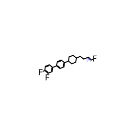 F/C=C/CCC1CCC(c2ccc(-c3ccc(F)c(F)c3)cc2)CC1